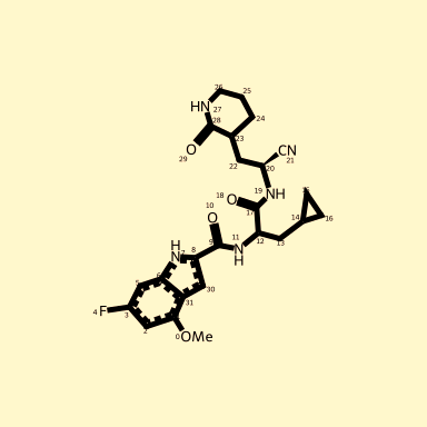 COc1cc(F)cc2[nH]c(C(=O)NC(CC3CC3)C(=O)N[C@H](C#N)CC3CCCNC3=O)cc12